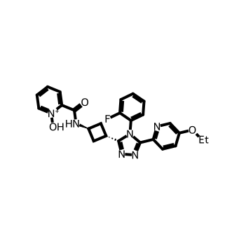 CCOc1ccc(-c2nnc([C@H]3C[C@H](NC(=O)c4cccc[n+]4O)C3)n2-c2ccccc2F)nc1